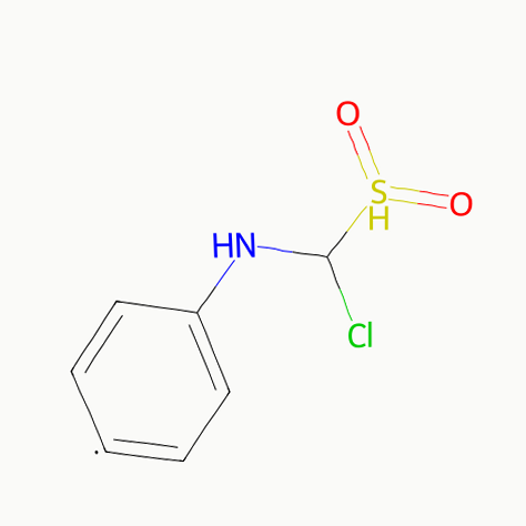 O=[SH](=O)C(Cl)Nc1cc[c]cc1